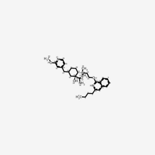 CCCCc1cc2ccccc2c(OCC[N+](C)(C)[C@H]2CCC(Cc3ccnc(OC)c3)C[C@@]2(O)C(N)=O)n1